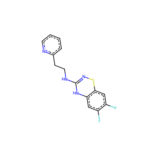 Fc1cc2c(cc1F)SN=C(NCCc1ccccn1)N2